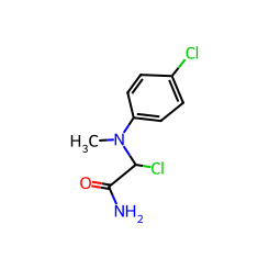 CN(c1ccc(Cl)cc1)C(Cl)C(N)=O